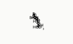 O=C(N[C@H]1CC[C@H](N[C@@H](CO)C(F)(F)F)CC1)c1cnc2cc(OC(F)F)c(Br)cc2c1